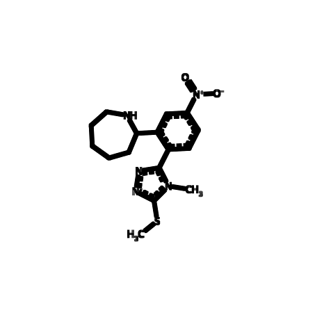 CSc1nnc(-c2ccc([N+](=O)[O-])cc2C2CCCCCN2)n1C